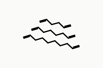 C=CCCC=C.C=CCCCCC=C.C=CCCCCCCC=C